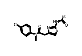 CCC(=O)Nc1nc(CC(=O)N(C)c2ccc(Cl)cc2)cs1